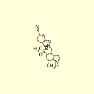 Cc1cc(S(C)(=O)=O)c(Cn2cc3ccc(C#N)nc3n2)c2cc[nH]c12